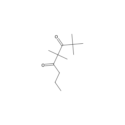 CCCC(=O)C(C)(C)C(=O)C(C)(C)C